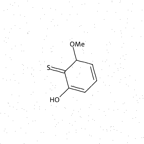 COC1C=CC=C(O)C1=S